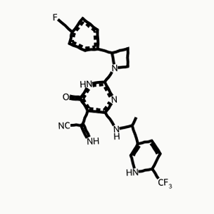 CC(Nc1nc(N2CCC2c2ccc(F)cc2)[nH]c(=O)c1C(=N)C#N)C1=CNC(C(F)(F)F)C=C1